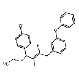 OCCC(C(F)=C(F)Cc1cccc(Oc2ccccc2)c1)c1ccc(Cl)cc1